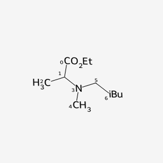 CCOC(=O)C(C)N(C)CC(C)CC